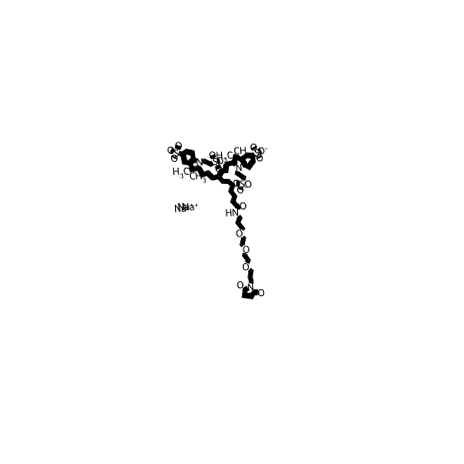 CC1(C)C(=CC=CC(=CC=CC2=[N+](CCS(=O)(=O)[O-])c3ccc(S(=O)(=O)[O-])cc3C2(C)C)CCCCCCC(=O)NCCCOCCOCCOCCCN2C(=O)C=CC2=O)N(CCS(=O)(=O)[O-])c2ccc(S(=O)(=O)[O-])cc21.[Na+].[Na+].[Na+]